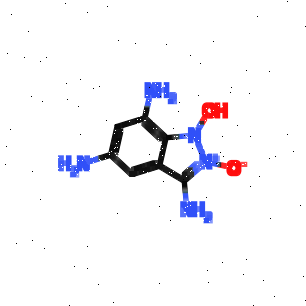 Nc1cc(N)c2c(c1)c(N)[n+]([O-])n2O